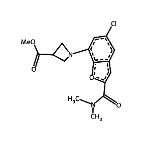 COC(=O)C1CN(c2cc(Cl)cc3cc(C(=O)N(C)C)oc23)C1